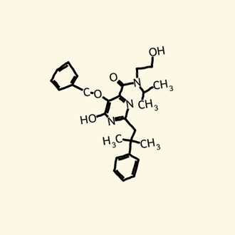 CC(C)N(CCO)C(=O)c1nc(CC(C)(C)c2ccccc2)nc(O)c1OCc1ccccc1